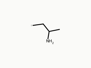 [CH]CC(C)N